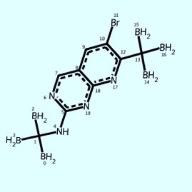 BC(B)(B)Nc1ncc2cc(Br)c(C(B)(B)B)nc2n1